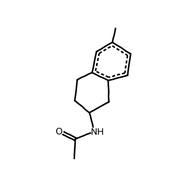 CC(=O)NC1CCc2cc(C)ccc2C1